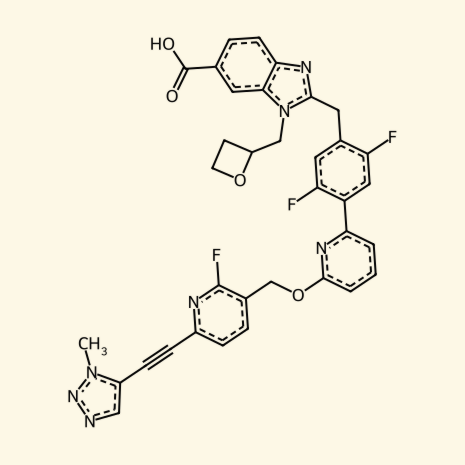 Cn1nncc1C#Cc1ccc(COc2cccc(-c3cc(F)c(Cc4nc5ccc(C(=O)O)cc5n4CC4CCO4)cc3F)n2)c(F)n1